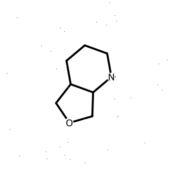 C1C[N]C2COCC2C1